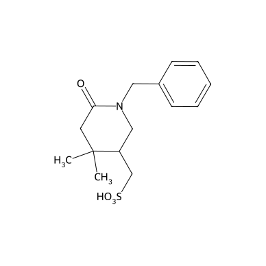 CC1(C)CC(=O)N(Cc2ccccc2)CC1CS(=O)(=O)O